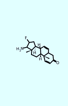 C[C@]12C=CC(=O)CC1C=C[C@@H]1[C@H]2CC[C@]2(C)C(N)C(F)C[C@@H]12